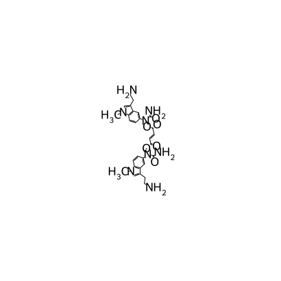 Cn1cc(CCN)c2cc(N(OC(=O)/C=C/C(=O)ON(C(N)=O)c3ccc4c(c3)c(CCN)cn4C)C(N)=O)ccc21